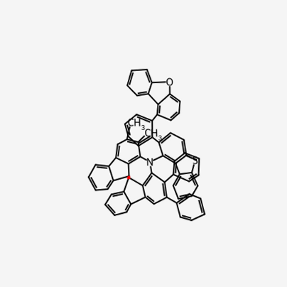 Cc1cc2c(c(N(c3c4c(cc(-c5ccccc5)c3-c3ccccc3)-c3ccccc3C4)c3c(-c4ccccc4-c4cccc5oc6ccccc6c45)ccc4sc5ccccc5c34)c1C)Cc1ccccc1-2